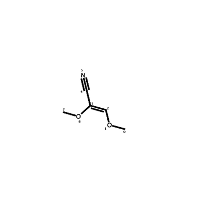 COC=C(C#N)OC